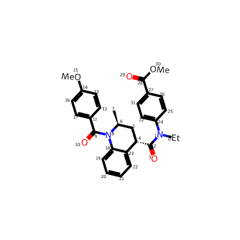 CCN(C(=O)[C@H]1C[C@H](C)N(C(=O)c2ccc(OC)cc2)c2ccccc21)c1ccc(C(=O)OC)cc1